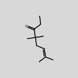 CCC(=O)C(C)(C)CC=C(C)C